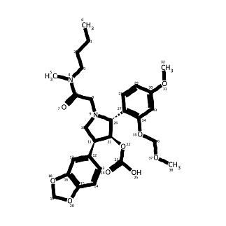 CCCCN(C)C(=O)CN1C[C@H](c2ccc3c(c2)OCO3)[C@H](OC(=O)O)[C@H]1c1ccc(OC)cc1OCOC